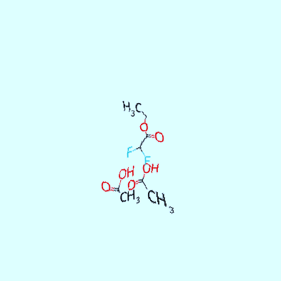 CC(=O)O.CC(=O)O.CCOC(=O)C(F)F